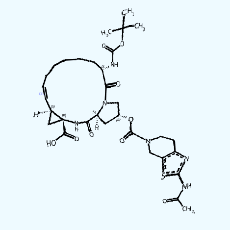 CC(=O)Nc1nc2c(s1)CN(C(=O)O[C@@H]1C[C@H]3C(=O)N[C@]4(C(=O)O)C[C@H]4/C=C\CCCCC[C@H](NC(=O)OC(C)(C)C)C(=O)N3C1)CC2